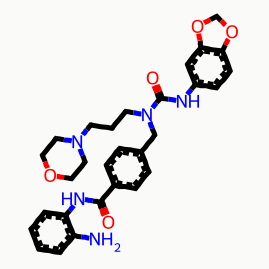 Nc1ccccc1NC(=O)c1ccc(CN(CCCN2CCOCC2)C(=O)Nc2ccc3c(c2)OCO3)cc1